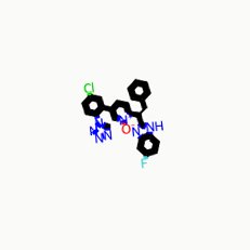 [O-][n+]1cc(-c2cc(Cl)ccc2-n2cnnn2)ccc1[C@@H](Cc1ccccc1)c1nc2cc(F)ccc2[nH]1